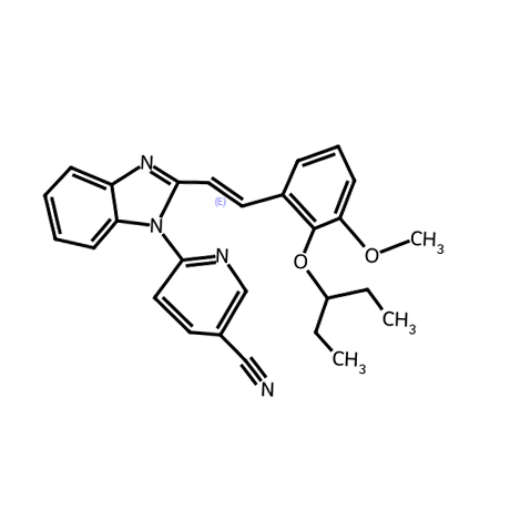 CCC(CC)Oc1c(/C=C/c2nc3ccccc3n2-c2ccc(C#N)cn2)cccc1OC